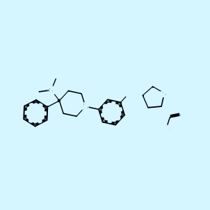 CN(C)C1(c2ccccc2)CCN(c2cccc(O[C@@H]3CN[C@H](C(=O)O)C3)c2)CC1